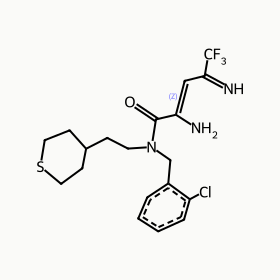 N=C(/C=C(\N)C(=O)N(CCC1CCSCC1)Cc1ccccc1Cl)C(F)(F)F